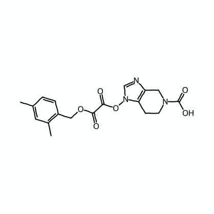 Cc1ccc(COC(=O)C(=O)On2cnc3c2CCN(C(=O)O)C3)c(C)c1